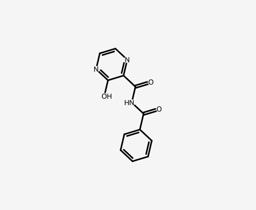 O=C(NC(=O)c1nccnc1O)c1ccccc1